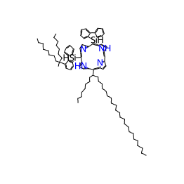 CCCCCCCCCCCCCCCCCCCCCCCC(CCCCCCCC)c1c2nc(cc3ccc([nH]3)c([SiH]3c4ccccc4-c4ccccc43)c3nc(c([SiH]4c5ccccc5-c5c4cccc5C(C)(CCCCCCC)CCCCCCCC)c4ccc1[nH]4)C=C3)C=C2